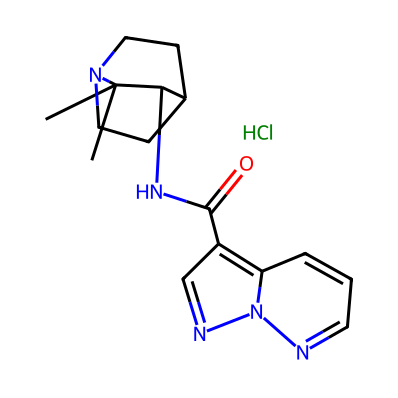 CC1(C)C(NC(=O)c2cnn3ncccc23)C2CCN1CC2.Cl